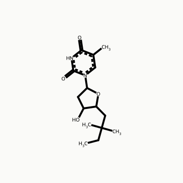 CCC(C)(C)CC1OC(n2cc(C)c(=O)[nH]c2=O)CC1O